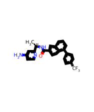 C[C@@H](NC(=O)c1ccc2c(-c3ccc(C(F)(F)F)cc3)cccc2c1)c1cc(N)ccn1